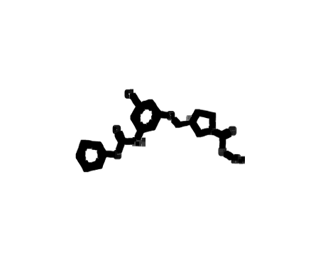 CC(C)(C)OC(=O)N1CC[C@H](COc2cc(Cl)cc(NC(=O)Oc3ccccc3)c2)C1